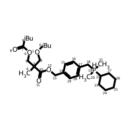 CCC(C)OCC(C)(COC(=O)C(C)CC)C(=O)OCc1ccc(C[PH](C)(C)C2CCCCC2)cc1